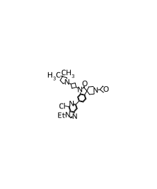 CCn1cnc2cc(-c3ccc4c(c3)N(C3CC(N5CCC(C)(C)C5)C3)C(=O)C43CCN(C4COC4)CC3)nc(Cl)c21